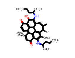 COC1=CC(=O)C2=C3C1=C1C(OC)=CC(=O)c4c(NC(CCC(=O)O)C(=O)O)c(OC)c5c(c41)C3C(=C(NC(CCC(=O)O)C(=O)O)C2O)C=C(C)C5C(C)=O